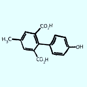 Cc1cc(C(=O)O)c(-c2ccc(O)cc2)c(C(=O)O)c1